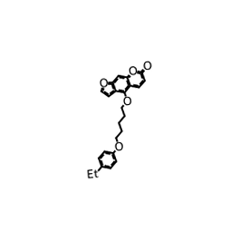 CCc1ccc(OCCCCCOc2c3ccoc3cc3oc(=O)ccc23)cc1